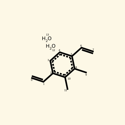 C=Cc1ccc(C=C)c(C)c1C.O.O